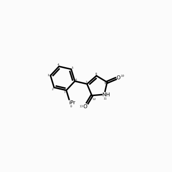 CC(C)c1ccccc1C1=CC(=O)NC1=O